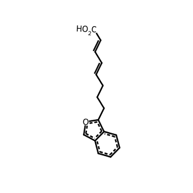 O=C(O)C=CC=CCCCc1occ2ccccc12